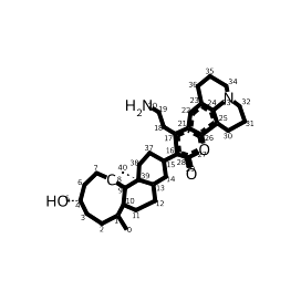 CC1CC[C@H](O)CCCC2C1CCC1CC(c3c(CCN)c4cc5c6c(c4oc3=O)CCCN6CCC5)CC[C@@]12C